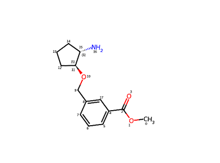 COC(=O)c1cccc(CO[C@H]2CCC[C@@H]2N)c1